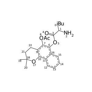 CCC(C)C(N)C(=O)Oc1c(OC(C)=O)c2c(c3ccccc13)OC(C)(C)CC2